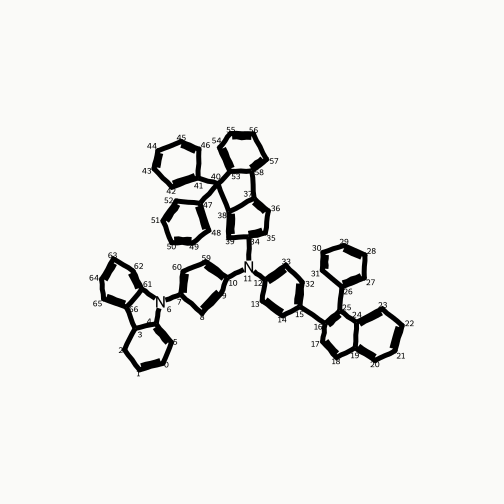 C1=CCC2C(=C1)N(c1ccc(N(c3ccc(-c4ccc5ccccc5c4-c4ccccc4)cc3)c3ccc4c(c3)C(c3ccccc3)(c3ccccc3)c3ccccc3-4)cc1)c1ccccc12